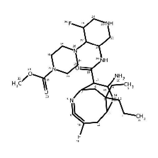 CCCC1(CC)CC2N=C=C(F)CC1NC(N)C2C(=O)NC1CNCC(F)C1N1CCN(C(=O)OC)CC1